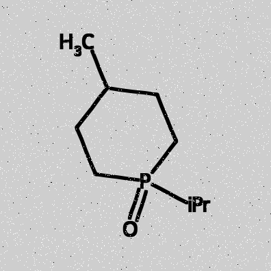 CC1CCP(=O)(C(C)C)CC1